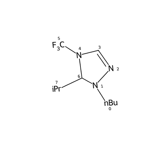 CCCCN1N=CN(C(F)(F)F)C1C(C)C